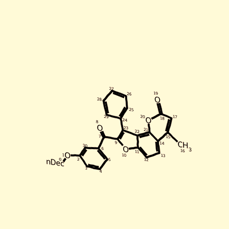 CCCCCCCCCCOc1cccc(C(=O)c2oc3ccc4c(C)cc(=O)oc4c3c2-c2ccccc2)c1